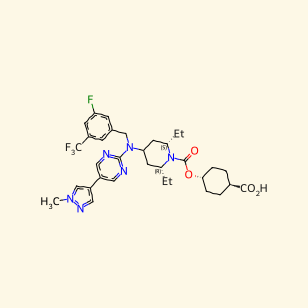 CC[C@@H]1CC(N(Cc2cc(F)cc(C(F)(F)F)c2)c2ncc(-c3cnn(C)c3)cn2)C[C@H](CC)N1C(=O)O[C@H]1CC[C@H](C(=O)O)CC1